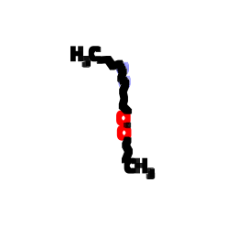 CCCC/C=C\C=C\CCCCOCOCCCCC